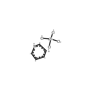 [Cl][Zr]([Cl])([Cl])[Cl].c1ccncc1